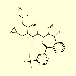 CCCCC(O)C(CC1CC1)C(=O)NC1N=C(c2cc(C(F)(F)F)ccn2)c2ccccc2N(C)C1C=O